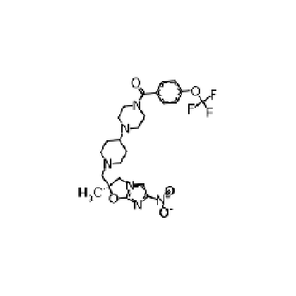 C[C@]1(CN2CCC(N3CCN(C(=O)c4ccc(OC(F)(F)F)cc4)CC3)CC2)Cn2cc([N+](=O)[O-])nc2O1